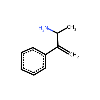 C=C(c1ccccc1)C(C)N